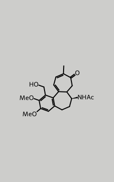 COc1cc2c(c(CO)c1OC)C1=CC=C(C)C(=O)CC1[C@@H](NC(C)=O)CC2